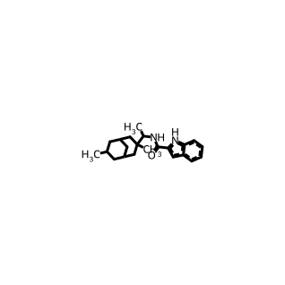 CC1CC2CC(C1)CC(C)(C(C)NC(=O)c1cc3ccccc3[nH]1)C2